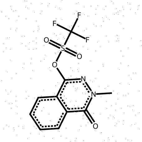 Cn1nc(OS(=O)(=O)C(F)(F)F)c2ccccc2c1=O